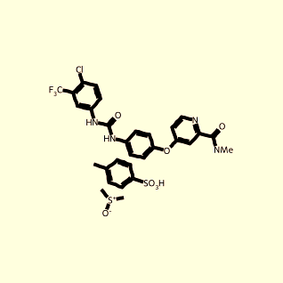 CNC(=O)c1cc(Oc2ccc(NC(=O)Nc3ccc(Cl)c(C(F)(F)F)c3)cc2)ccn1.C[S+](C)[O-].Cc1ccc(S(=O)(=O)O)cc1